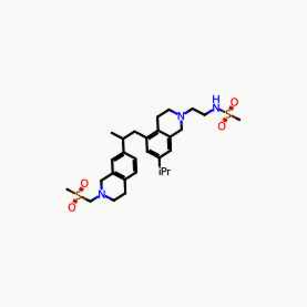 CC(C)c1cc(CC(C)c2ccc3c(c2)CN(CS(C)(=O)=O)CC3)c2c(c1)CN(CCNS(C)(=O)=O)CC2